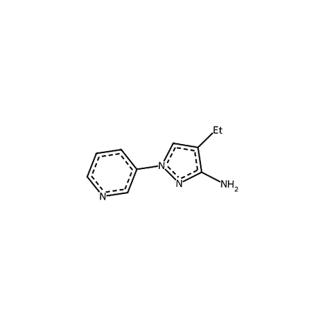 [CH2]Cc1cn(-c2cccnc2)nc1N